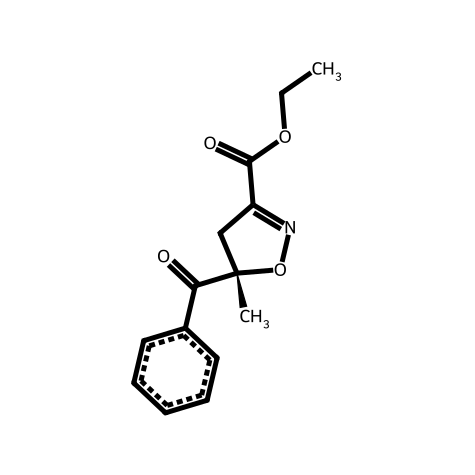 CCOC(=O)C1=NO[C@](C)(C(=O)c2ccccc2)C1